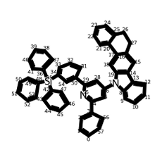 c1ccc(-c2cc(-n3c4ccccc4c4cc5c(cc43)-c3ccccc3CC5)cc(-c3cccc([Si](c4ccccc4)(c4ccccc4)c4ccccc4)c3)n2)cc1